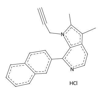 C#CCn1c(C)c(C)c2ccnc(-c3ccc4ccccc4c3)c21.Cl